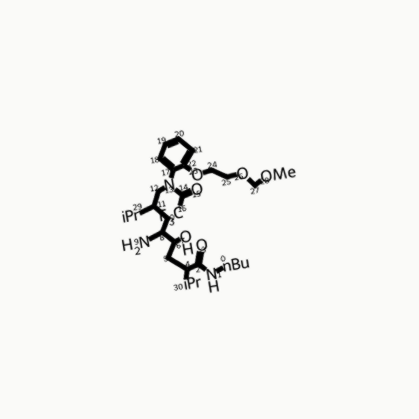 CCCCNC(=O)C(CC(O)C(N)CC(CN(C(=O)C(F)(F)F)c1ccccc1OCCOCOC)C(C)C)C(C)C